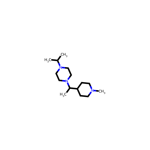 CC(C)N1CCN(C(C)C2CCN(C)CC2)CC1